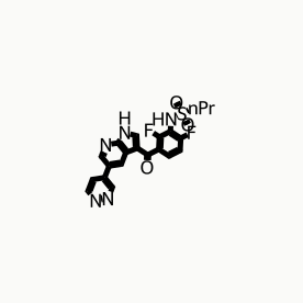 CCCS(=O)(=O)Nc1c(F)ccc(C(=O)c2c[nH]c3ncc(-c4ccnnc4)cc23)c1F